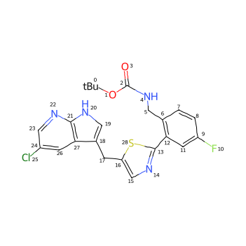 CC(C)(C)OC(=O)NCc1ccc(F)cc1-c1ncc(Cc2c[nH]c3ncc(Cl)cc23)s1